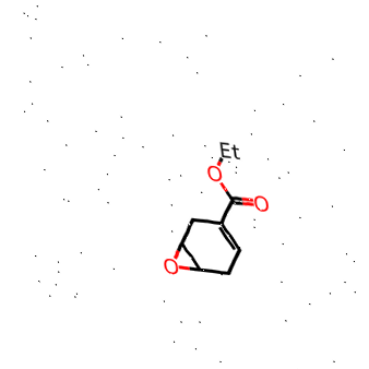 CCOC(=O)C1=CCC2OC2C1